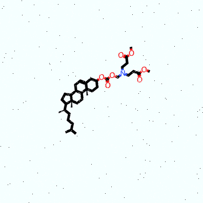 COC(=O)CCN(CCC(=O)OC)COC(=O)OC1CC[C@@]2(C)C(=CCC3C4CCC([C@H](C)CCCC(C)C)[C@@]4(C)CCC32)C1